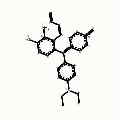 C=C/C=C\c1c(C(c2ccc(N(CC)CC)cc2)=c2ccc(=C)cc2)ccc(O)c1N